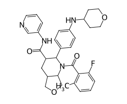 Cc1cccc(F)c1C(=O)N1C2COCC2CC(C(=O)Nc2cccnc2)C1c1ccc(NC2CCOCC2)cc1